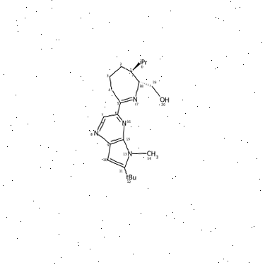 CC(C)[C@@H]1CCCC(c2cnc3cc(C(C)(C)C)n(C)c3n2)=N[C@H]1CO